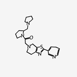 O=C(CN1CCc2nc(C3=CCC=CN=C3)sc2C1)N1CCCC1CN1CCCC1